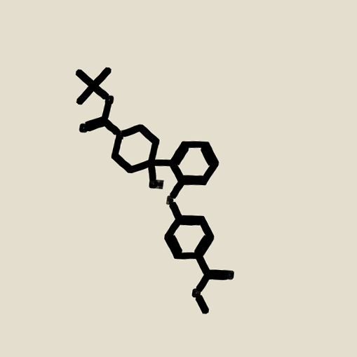 COC(=O)c1ccc(Sc2ccccc2C2(O)CCN(C(=O)OC(C)(C)C)CC2)cc1